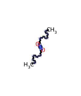 CC/C=C\C/C=C\C/C=C\C/C=C\C/C=C\CCCC(=O)N1CCN(C(=O)CCC/C=C\C/C=C\C/C=C\C/C=C\C/C=C\CC)CC1